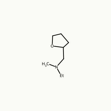 [CH2]CN(C)CC1CCCO1